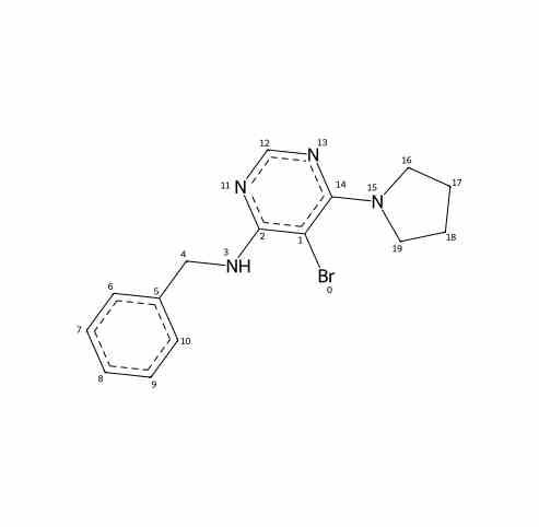 Brc1c(NCc2ccccc2)ncnc1N1CCCC1